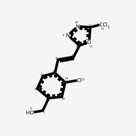 OCc1ccc(C=Cc2nnc(C(Cl)(Cl)Cl)o2)c(Cl)c1